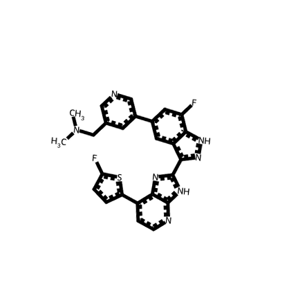 CN(C)Cc1cncc(-c2cc(F)c3[nH]nc(-c4nc5c(-c6ccc(F)s6)ccnc5[nH]4)c3c2)c1